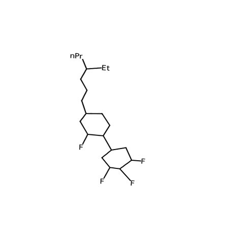 CCCC(CC)CCCC1CCC(C2CC(F)C(F)C(F)C2)C(F)C1